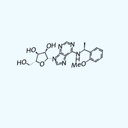 COc1ccccc1[C@H](C)Nc1ncnc2c1ncn2[C@@H]1O[C@H](CO)[C@@H](O)[C@H]1O